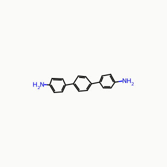 Nc1ccc(-c2ccc(-c3ccc(N)cc3)cc2)cc1